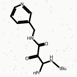 CCCC(NC(C)(C)C)C(=O)C(=O)NCc1cccnc1